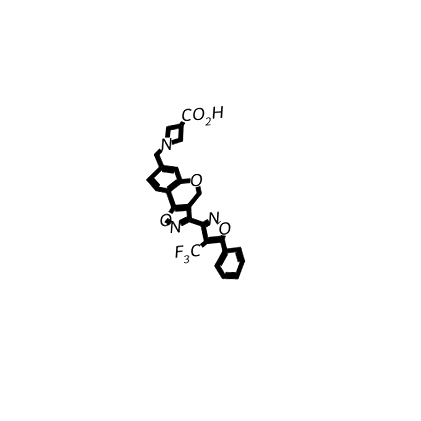 O=C(O)C1CN(Cc2ccc3c(c2)OCc2c(-c4noc(-c5ccccc5)c4C(F)(F)F)noc2-3)C1